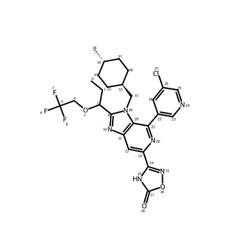 CCC(OCC(F)(F)F)c1nc2cc(-c3noc(=O)[nH]3)nc(-c3cncc(Cl)c3)c2n1C[C@H]1CC[C@H](C)CC1